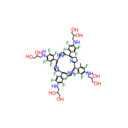 Cc1c(F)c(NCC(O)CO)c(F)c(F)c1-c1c2nc(c(-c3c(F)c(F)c(NCC(O)CO)c(F)c3F)c3ccc([nH]3)c(-c3c(F)c(F)c(NCC(O)CO)c(F)c3F)c3nc(c(-c4c(F)c(F)c(NCC(O)CO)c(F)c4F)c4ccc1[nH]4)C=C3)CC2